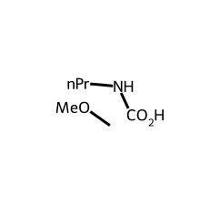 CCCNC(=O)O.COC